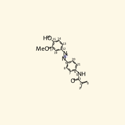 C=C(C)C(=O)Nc1ccc(/N=N/c2ccc(O)c(OC)c2)cc1